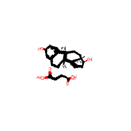 C[C@]12CC[C@@H]3c4ccc(O)cc4CC[C@H]3[C@@H]1CC[C@@H]2O.O=C(O)CCC(=O)O